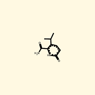 CC(C)c1ccc(=O)[nH]c1C(N)=O